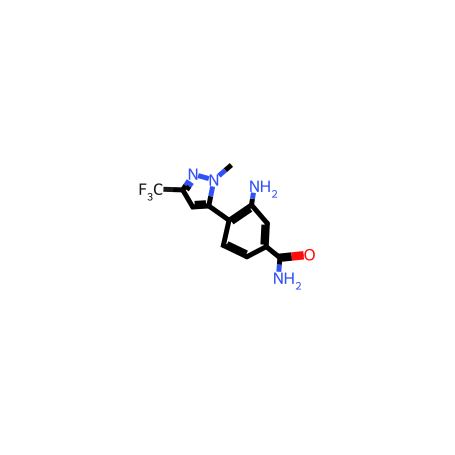 Cn1nc(C(F)(F)F)cc1-c1ccc(C(N)=O)cc1N